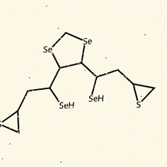 [SeH]C(CC1CS1)C1[Se]C[Se]C1C([SeH])CC1CS1